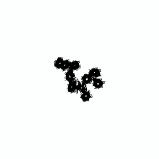 c1ccc(-c2nc(-c3ccc4c5ccccc5n(-c5ccccc5)c4c3)nc(-c3cccc4c3sc3cc(-n5c6ccccc6c6cc7ccccc7cc65)ccc34)n2)cc1